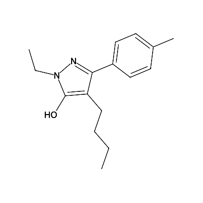 CCCCc1c(-c2ccc(C)cc2)nn(CC)c1O